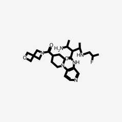 CC(F)CNC(C)C(C(=O)Nc1cnccc1N1CCC(C(=O)N2CC3(COC3)C2)CC1)C(C)N